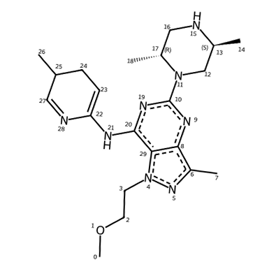 COCCn1nc(C)c2nc(N3C[C@H](C)NC[C@H]3C)nc(NC3=CCC(C)C=N3)c21